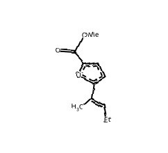 CCC=C(C)c1ccc(C(=O)OC)o1